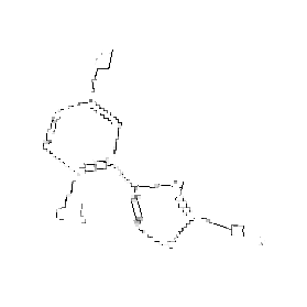 Cc1nc(-c2cc(Cl)ccc2C)cs1